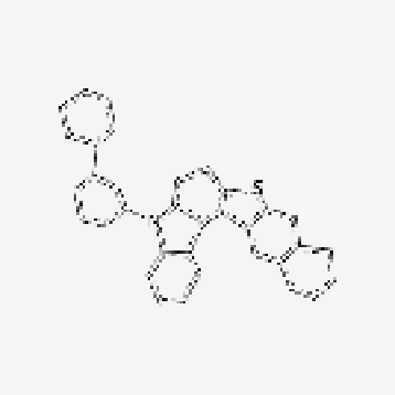 c1ccc(-c2cccc(-n3c4ccccc4c4c5c(ccc43)sc3cc4ccccc4cc35)c2)cc1